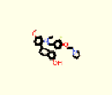 CCN(Cc1ccc(OCCN2CCCC2)c(F)c1)c1cc(OC)ccc1C1CCc2cc(O)ccc2C1